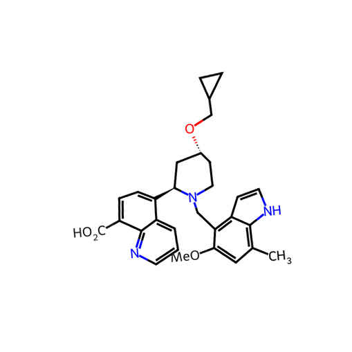 COc1cc(C)c2[nH]ccc2c1CN1CC[C@@H](OCC2CC2)C[C@@H]1c1ccc(C(=O)O)c2ncccc12